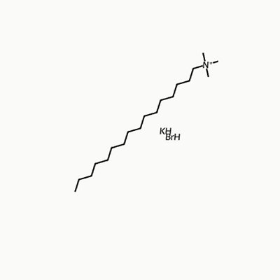 Br.CCCCCCCCCCCCCCCC[N+](C)(C)C.[KH]